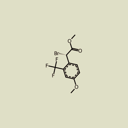 COC(=O)[C@@H](Br)c1ccc(OC)cc1C(F)(F)F